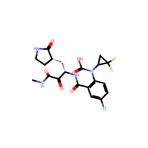 CNC(=O)C(=O)[C@H](C[C@@H]1CCNC1=O)NC(=O)c1cc(Cl)ccc1N(C(=O)O)C1CC1(F)F